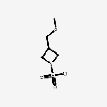 COCC1CN(S(=O)(=O)Cl)C1